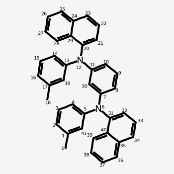 Cc1cccc(N(c2cccc(N(c3cccc(C)c3)c3cccc4ccccc34)c2)c2cccc3ccccc23)c1